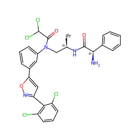 CC(C)[C@H](CN(C(=O)C(Cl)Cl)c1cccc(-c2cc(-c3c(Cl)cccc3Cl)no2)c1)NC(=O)[C@H](N)c1ccccc1